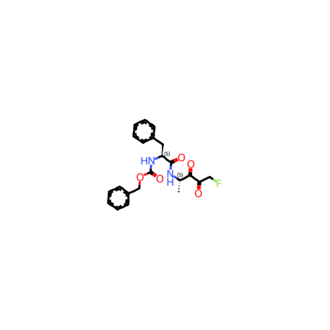 C[C@H](NC(=O)[C@H](Cc1ccccc1)NC(=O)OCc1ccccc1)C(=O)C(=O)CF